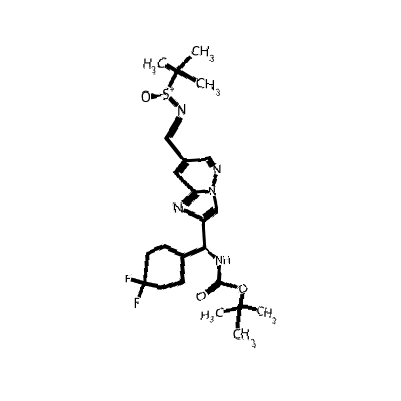 CC(C)(C)OC(=O)N[C@H](c1cn2ncc(/C=N/[S@@+]([O-])C(C)(C)C)cc2n1)C1CCC(F)(F)CC1